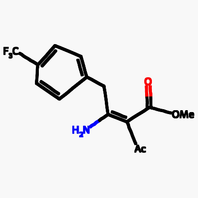 COC(=O)C(C(C)=O)=C(N)Cc1ccc(C(F)(F)F)cc1